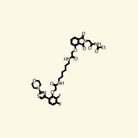 CCC(=O)NC(=O)CN1C(=O)c2cccc(OCC(=O)NCCCCCCNC(=O)COc3c(-c4csc(N5CCOCC5)n4)ccc(F)c3F)c2C1=O